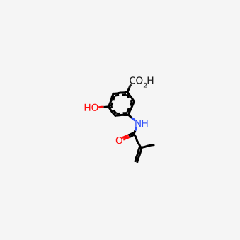 C=C(C)C(=O)Nc1cc(O)cc(C(=O)O)c1